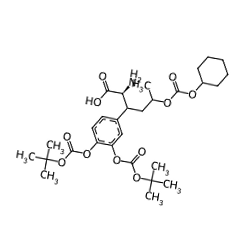 CC(CC(c1ccc(OC(=O)OC(C)(C)C)c(OC(=O)OC(C)(C)C)c1)[C@H](N)C(=O)O)OC(=O)OC1CCCCC1